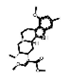 CC[C@@H]1CN2CCc3c([nH]c4cc(I)cc(OC)c34)[C@@H]2C[C@@H]1/C(=C\OC)C(=O)OC